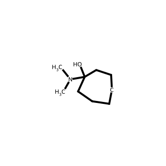 CN(C)C1(O)CCCCCC1